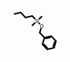 CCCC[Si](C)(C)OCc1cc[c]cc1